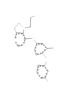 OCCN1CCc2ncnc(Nc3ccc(Oc4cccc(C(F)(F)F)c4)c(Cl)c3)c21